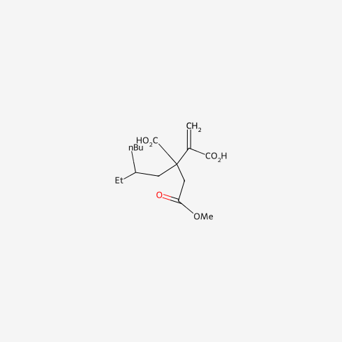 C=C(C(=O)O)C(CC(=O)OC)(CC(CC)CCCC)C(=O)O